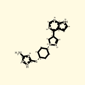 Nc1n[nH]c(S[C@H]2CC[C@@H](N3CC(c4ncnc5[nH]ccc45)C=N3)CC2)n1